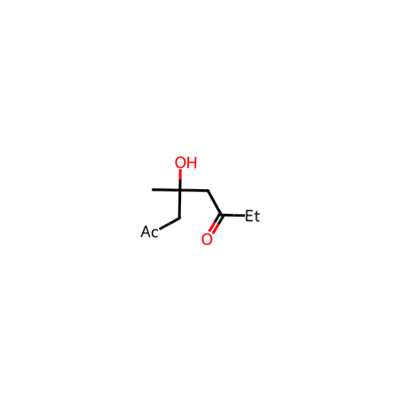 CCC(=O)CC(C)(O)CC(C)=O